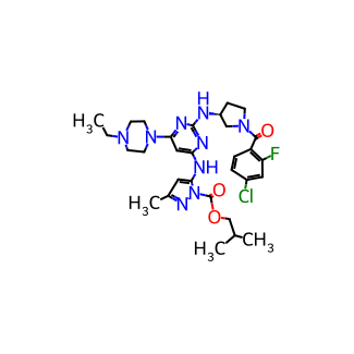 CCN1CCN(c2cc(Nc3cc(C)nn3C(=O)OCC(C)C)nc(N[C@H]3CCN(C(=O)c4ccc(Cl)cc4F)C3)n2)CC1